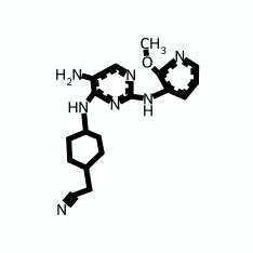 COc1ncccc1Nc1ncc(N)c(NC2CCC(CC#N)CC2)n1